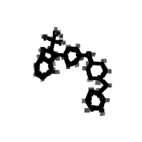 FC(F)(F)C(F)(F)c1nc2cccnc2n1-c1ccc(OC2CCN(Cc3ccnnc3)CC2)cc1